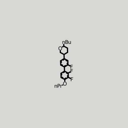 CCCCC1CCC(c2ccc(-c3ccc(OCCC)c(F)c3F)c(F)c2)CO1